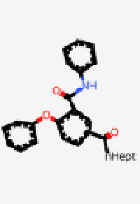 CCCCCCCC(=O)c1ccc(Oc2ccccc2)c(C(=O)Nc2ccccc2)c1